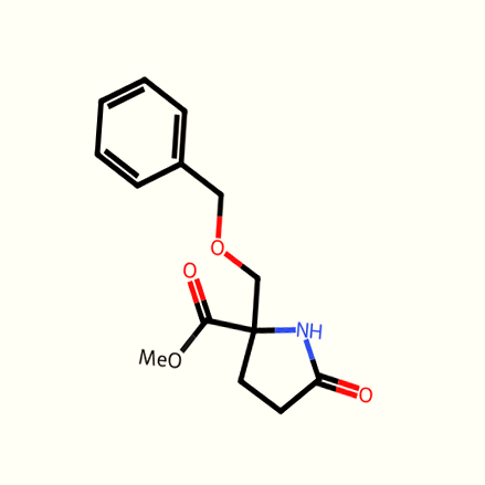 COC(=O)C1(COCc2ccccc2)CCC(=O)N1